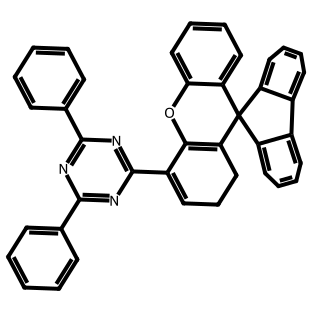 C1=C(c2nc(-c3ccccc3)nc(-c3ccccc3)n2)C2=C(CC1)C1(c3ccccc3O2)c2ccccc2-c2ccccc21